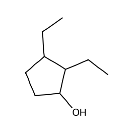 CCC1CCC(O)C1CC